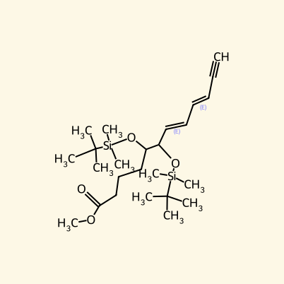 C#C/C=C/C=C/C(O[Si](C)(C)C(C)(C)C)C(CCCC(=O)OC)O[Si](C)(C)C(C)(C)C